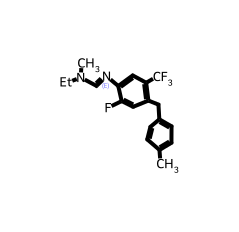 CCN(C)/C=N/c1cc(C(F)(F)F)c(Cc2ccc(C)cc2)cc1F